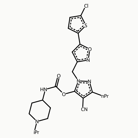 CCCc1nn(Cc2cc(-c3ccc(Cl)s3)on2)c(OC(=O)NC2CCN(C(C)C)CC2)c1C#N